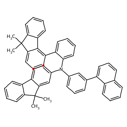 CC1(C)c2ccccc2-c2ccc(N(c3cccc(-c4cccc5ccccc45)c3)c3ccccc3-c3cccc4c3-c3ccccc3C4(C)C)cc21